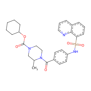 CC1CN(C(=O)OC2CCCCC2)CCN1C(=O)c1ccc(NS(=O)(=O)c2cccc3cccnc23)cc1